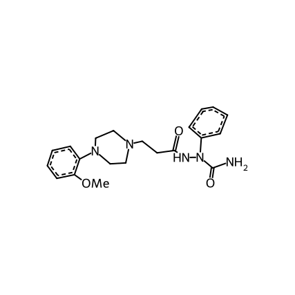 COc1ccccc1N1CCN(CCC(=O)NN(C(N)=O)c2ccccc2)CC1